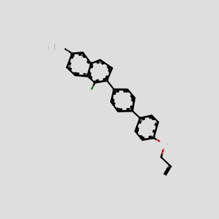 C=CCOc1ccc(-c2ccc(-c3ccc4cc(CCC)ccc4c3F)cc2)cc1